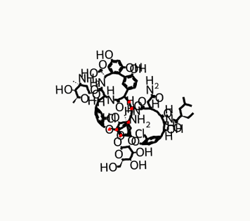 CC[C@H](CC(C)C)C(=O)N[C@H]1C(=O)C[C@@H](CC(N)=O)C(=O)N[C@H]2C(=O)C[C@H]3C(=O)N[C@H](C(=O)N[C@H](C(=O)O)c4cc(O)cc(O)c4-c4cc3ccc4O)[C@H](O[C@H]3C[C@](C)(N)[C@@H](O)[C@H](C)O3)c3ccc(c(Cl)c3)Oc3cc2cc(c3O[C@@H]2O[C@H](CO)[C@@H](O)[C@H](O)[C@H]2O[C@H]2C[C@](C)(N)[C@@H](O)[C@H](C)O2)Oc2ccc(cc2Cl)[C@H]1O